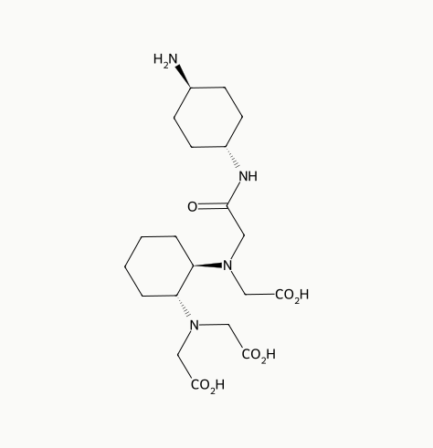 N[C@H]1CC[C@H](NC(=O)CN(CC(=O)O)[C@@H]2CCCC[C@H]2N(CC(=O)O)CC(=O)O)CC1